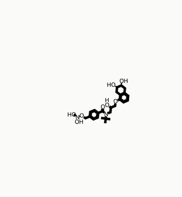 CC(C)(C)N(CC(O)COc1cccc2c1C[C@@H](O)[C@@H](O)C2)C(=O)c1ccc(CON(O)O)cc1